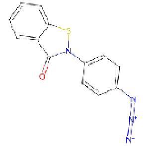 [N-]=[N+]=Nc1ccc(-n2sc3ccccc3c2=O)cc1